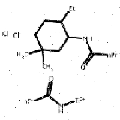 CCCC(=O)NC1CC(C)(C)CCC1CC.CCCC(=O)[NH][Ti+2].[Cl-].[Cl-]